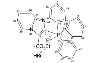 Br.CCOC(=O)c1c(P(CC)(c2ccccc2)(c2ccccc2)c2ccccc2)nc2ccccn12